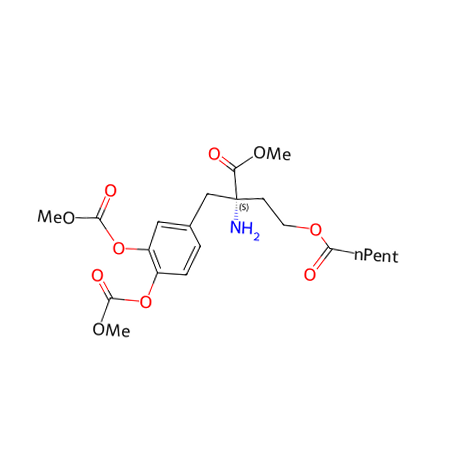 CCCCCC(=O)OCC[C@@](N)(Cc1ccc(OC(=O)OC)c(OC(=O)OC)c1)C(=O)OC